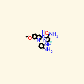 CCOc1ccc2cc(Nc3nc(N[C@@H]4CCCC[C@@H]4N)c(F)cc3C(N)=O)cnc2c1